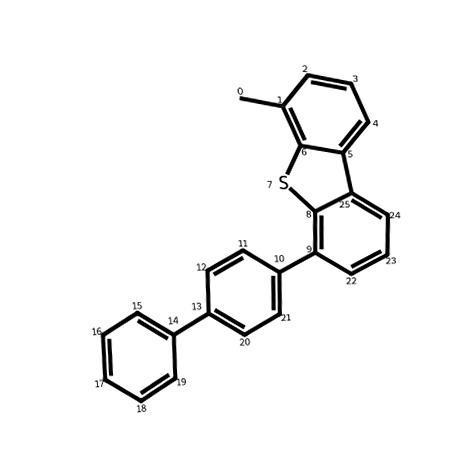 Cc1cccc2c1sc1c(-c3ccc(-c4ccccc4)cc3)cccc12